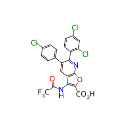 O=C(O)c1oc2nc(-c3ccc(Cl)cc3Cl)c(-c3ccc(Cl)cc3)cc2c1NC(=O)C(F)(F)F